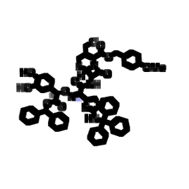 COc1ccc(COC(=O)C2=C(CCl)CS[C@@H]3C(NC(=O)/C(=N\O[C@H](C(=O)OC(c4ccccc4)c4ccccc4)c4ccc(O)c(O)c4)c4csc(NC(c5ccccc5)(c5ccccc5)c5ccccc5)n4)C(=O)N23)cc1